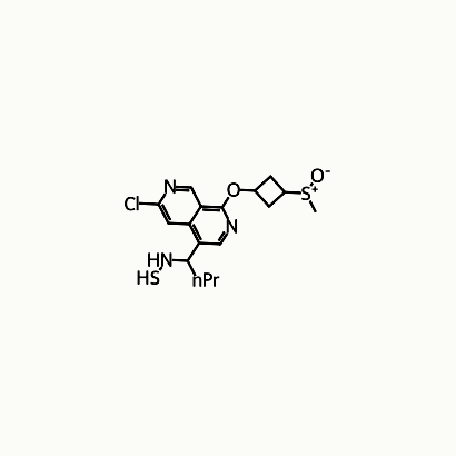 CCCC(NS)c1cnc(OC2CC([S+](C)[O-])C2)c2cnc(Cl)cc12